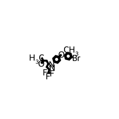 CC(=O)CC1CC(C(F)(F)F)=NN1c1ccc(Oc2ccc(Br)cc2C)cc1